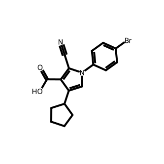 N#Cc1c(C(=O)O)c(C2CCCC2)cn1-c1ccc(Br)cc1